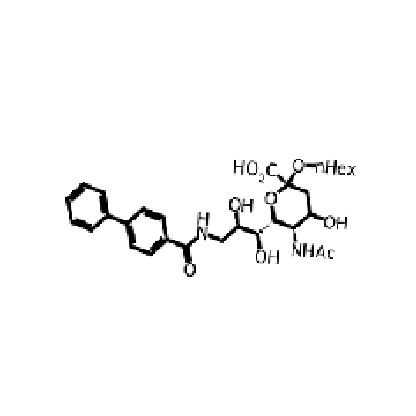 CCCCCCO[C@]1(C(=O)O)CC(O)[C@@H](NC(C)=O)[C@H](C(O)[C@H](O)CNC(=O)c2ccc(-c3ccccc3)cc2)O1